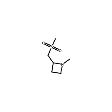 CN1CCC1CS(C)(=O)=O